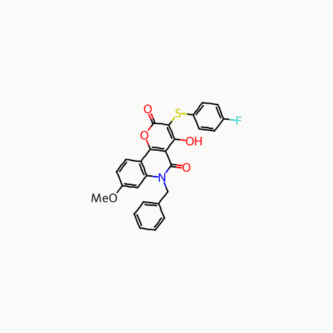 COc1ccc2c3oc(=O)c(Sc4ccc(F)cc4)c(O)c3c(=O)n(Cc3ccccc3)c2c1